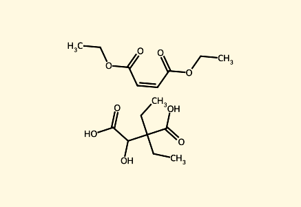 CCC(CC)(C(=O)O)C(O)C(=O)O.CCOC(=O)/C=C\C(=O)OCC